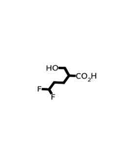 O=C(O)C(CO)CCC(F)F